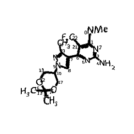 CNc1nc(N)nc(-c2cn(C3COC(C)(C)OC3)nc2C)c1C(F)(F)F